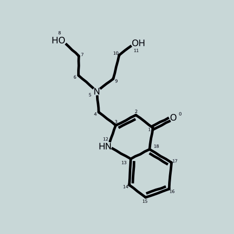 O=c1cc(CN(CCO)CCO)[nH]c2ccccc12